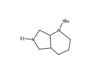 CCN1CC2CCCN(C(C)(C)C)C2C1